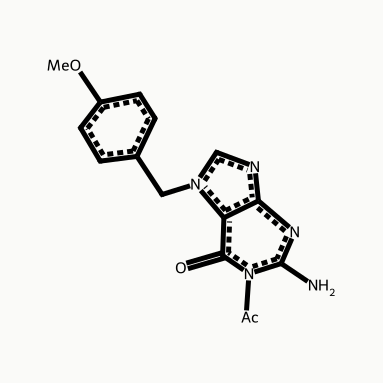 COc1ccc(Cn2cnc3nc(N)n(C(C)=O)c(=O)c32)cc1